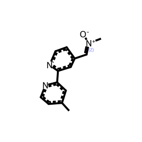 Cc1ccnc(-c2cc(/C=[N+](/C)[O-])ccn2)c1